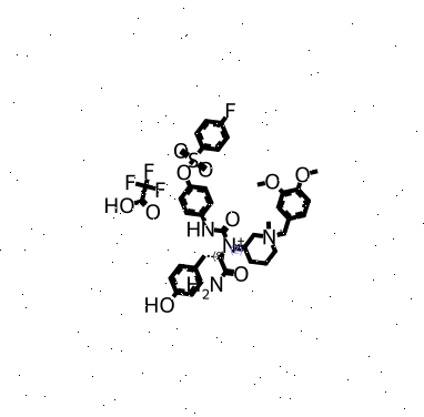 COc1ccc(C[N+]2(C)CCC/C(=[N+](/C(=O)Nc3ccc(OS(=O)(=O)c4ccc(F)cc4)cc3)[C@@H](Cc3ccc(O)cc3)C(N)=O)C2)cc1OC.O=C(O)C(F)(F)F